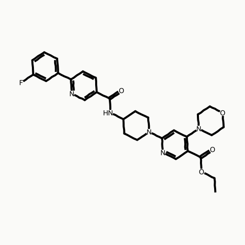 CCOC(=O)c1cnc(N2CCC(NC(=O)c3ccc(-c4cccc(F)c4)nc3)CC2)cc1N1CCOCC1